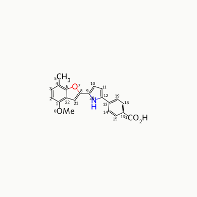 COc1ccc(C)c2oc(-c3ccc(-c4ccc(C(=O)O)cc4)[nH]3)cc12